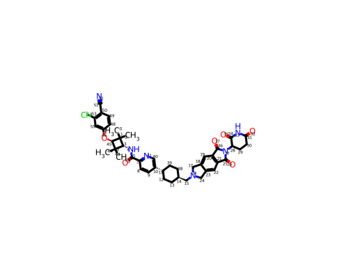 CC1(C)[C@H](NC(=O)c2ccc([C@H]3CC[C@H](CN4Cc5cc6c(cc5C4)C(=O)N(C4CCC(=O)NC4=O)C6=O)CC3)cn2)C(C)(C)[C@H]1Oc1ccc(C#N)c(Cl)c1